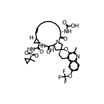 Cc1nc2ccc(OC(F)(F)F)cc2c2c1O[C@]1(CC2)C[C@H]2C(=O)N[C@]3(C(=O)NS(=O)(=O)C4(C)CC4)C[C@H]3/C=C\CCCCC[C@H](NC(=O)O)C(=O)N2C1